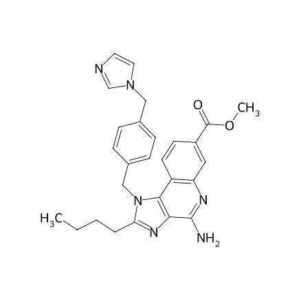 CCCCc1nc2c(N)nc3cc(C(=O)OC)ccc3c2n1Cc1ccc(Cn2ccnc2)cc1